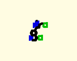 Cn1nc(-c2ccc3nccc(Cl)c3c2)cc1CCl